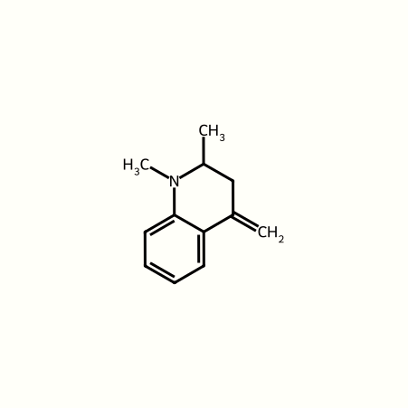 C=C1CC(C)N(C)c2ccccc21